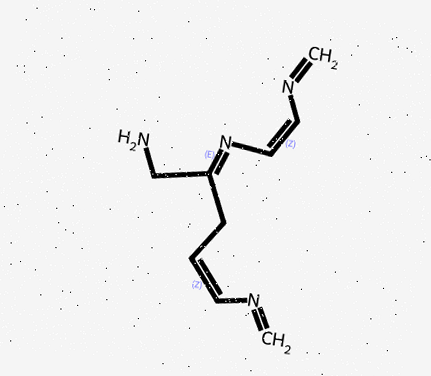 C=N/C=C\C/C(CN)=N\C=C/N=C